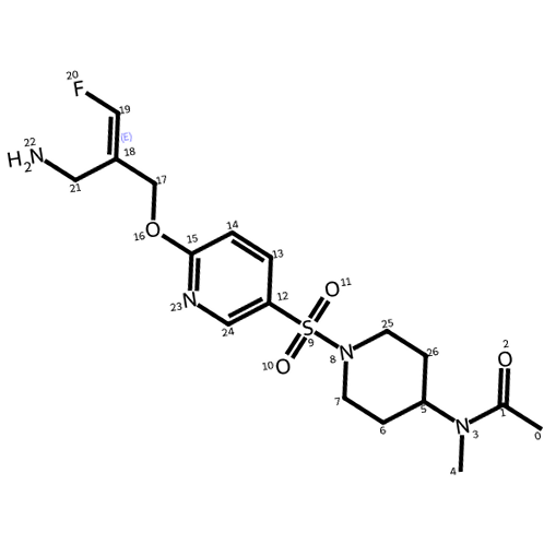 CC(=O)N(C)C1CCN(S(=O)(=O)c2ccc(OC/C(=C/F)CN)nc2)CC1